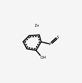 Oc1ccccc1P=S.[Zn]